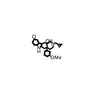 COc1cccc(C23CCN(CC4CC4)CC2(O)Cc2c([nH]c4ccc(Cl)cc24)C3)c1